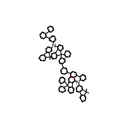 CC1(C)c2ccccc2-c2ccc(N(c3cccc(-c4ccccc4-c4ccccc4)c3)c3cccc4c3-c3ccccc3C4(c3ccccc3)c3ccc(-c4cccc(-c5ccc(-c6ccccc6N(c6ccc7c(c6)C(C)(C)c6ccccc6-7)c6cccc7c6-c6ccccc6C7(c6ccccc6)c6ccccc6)cc5)c4)cc3)cc21